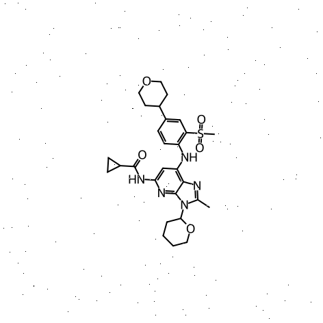 Cc1nc2c(Nc3ccc(C4CCOCC4)cc3S(C)(=O)=O)cc(NC(=O)C3CC3)nc2n1C1CCCCO1